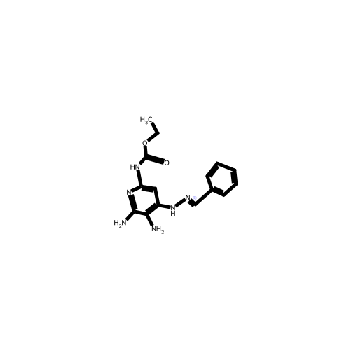 CCOC(=O)Nc1cc(N/N=C/c2ccccc2)c(N)c(N)n1